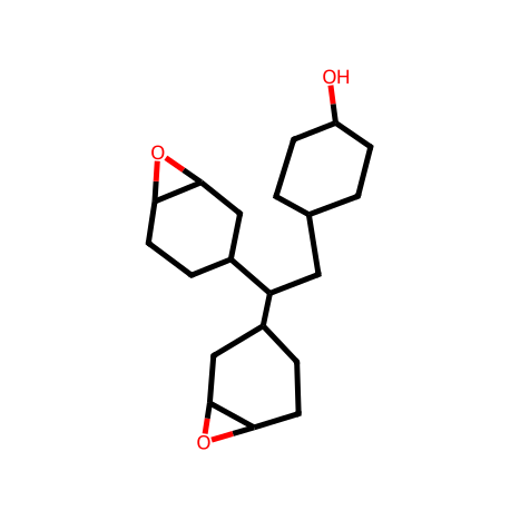 OC1CCC(CC(C2CCC3OC3C2)C2CCC3OC3C2)CC1